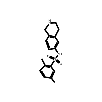 Cc1ccc(C)c(S(=O)(=O)Nc2ccc3c(c2)CCNC3)c1